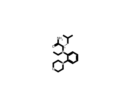 CCN(c1ccccc1N1CCOCC1)[C@@H](CC(C)C)C(N)=O